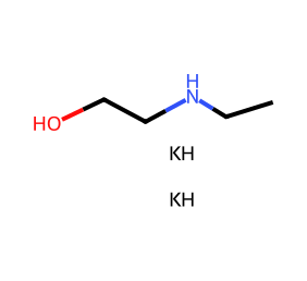 CCNCCO.[KH].[KH]